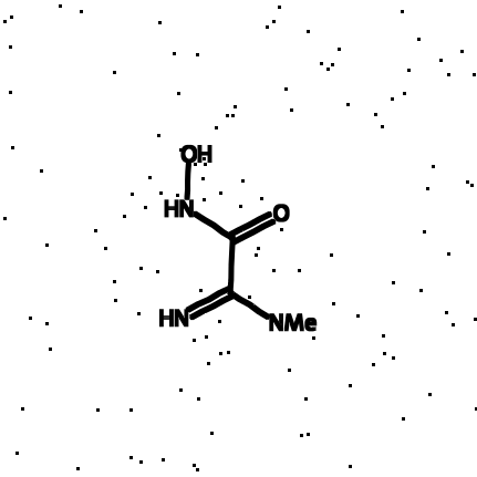 CNC(=N)C(=O)NO